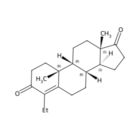 CCC1=C2CC[C@@H]3[C@@H](CC[C@]4(C)C(=O)CC[C@@H]34)[C@@]2(C)CCC1=O